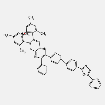 Cc1cc(C)c(-c2cc3nc(-c4ccccc4)c(-c4ccc(-c5ccc(-c6nnc(-c7ccccc7)o6)cc5)cc4)nc3cc2-c2c(C)cc(C)cc2C)c(C)c1